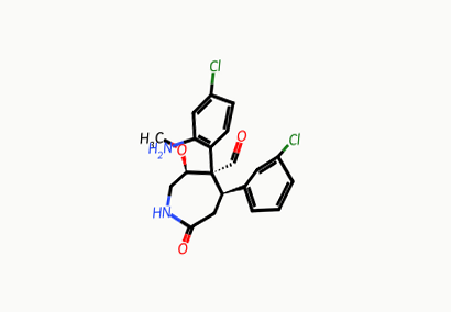 CO[C@@H]1CNC(=O)C[C@H](c2cccc(Cl)c2)[C@]1(C=O)c1ccc(Cl)cc1N